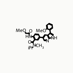 COCC(=O)Nc1ccc(-c2cnc3[nH]cc(-c4ccccc4OC)c3c2)cc1C(=O)N(C)C(C)C